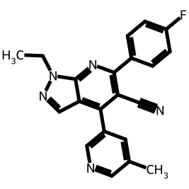 CCn1ncc2c(-c3cncc(C)c3)c(C#N)c(-c3ccc(F)cc3)nc21